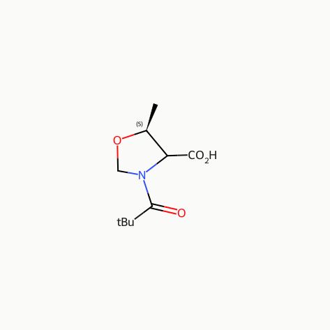 C[C@@H]1OCN(C(=O)C(C)(C)C)C1C(=O)O